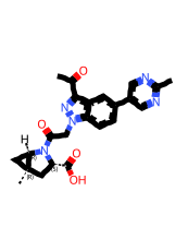 CC(=O)c1nn(CC(=O)N2[C@H](C(=O)O)C[C@@]3(C)C[C@@H]23)c2ccc(-c3cnc(C)nc3)cc12